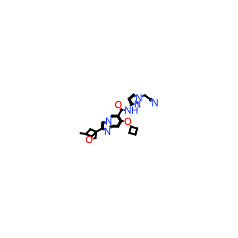 CC12CC(c3cn4cc(C(=O)Nc5ccn(CC#N)n5)c(OC5CCC5)cc4n3)(CO1)C2